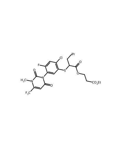 CCOC(=O)CCOC(=O)C(CC(C)C)Sc1cc(-n2c(=O)cc(C(F)(F)F)n(C)c2=O)c(F)cc1Cl